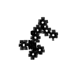 c1ccc(-c2ccc(N(c3ccccc3)c3ccc4oc5cc(-c6nc(-c7ccccc7)nc(-n7c8ccccc8c8ccccc87)n6)ccc5c4c3)cc2)cc1